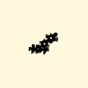 CN1CC(=O)NN=C1c1ccc(-n2ccc(C(F)(F)F)n2)c(C(F)(F)F)c1